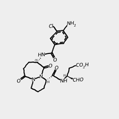 Nc1ccc(C(=O)N[C@H]2CCC(=O)N3CCC[C@@H](C(=O)N[C@H](C=O)CC(=O)O)N3C2=O)cc1Cl